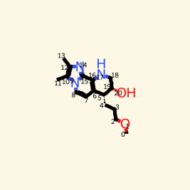 COCCC[C@@H]1c2ccn3c(C)c(C)nc3c2NC[C@H]1O